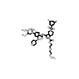 COCCOCCOC(=O)n1nc(NC(=O)c2ccc(N(C)CC(C)N(C)C)cc2NC2CCOCC2)c2c1CCN(S(=O)(=O)c1cc(F)cc(F)c1)C2